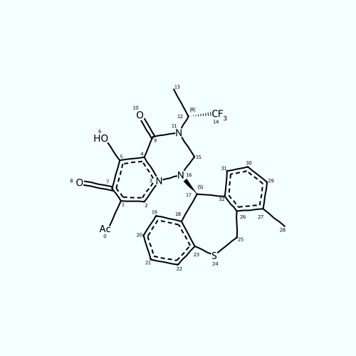 CC(=O)c1cn2c(c(O)c1=O)C(=O)N([C@H](C)C(F)(F)F)CN2[C@@H]1c2ccccc2SCc2c(C)cccc21